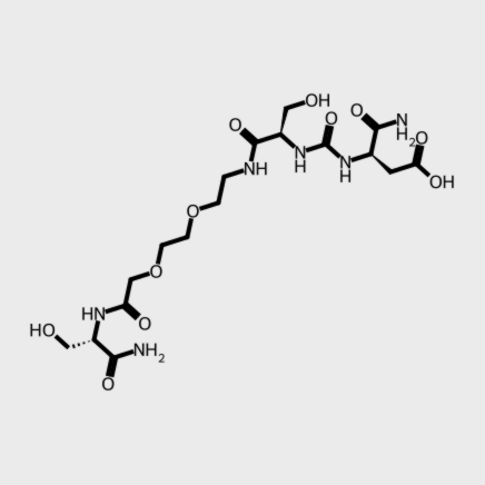 NC(=O)[C@H](CO)NC(=O)COCCOCCNC(=O)[C@@H](CO)NC(=O)N[C@H](CC(=O)O)C(N)=O